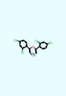 FC(F)(F)/C=C(\O/C(=C\C(F)(F)F)c1ccc(Cl)cc1Cl)c1ccc(Cl)cc1Cl